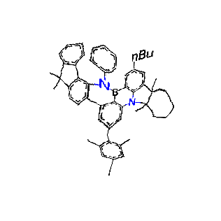 CCCCc1cc2c3c(c1)C1(C)CCCCC1(C)N3c1cc(-c3c(C)cc(C)cc3C)cc3c1B2N(c1ccccc1)c1c-3ccc2c1-c1ccccc1C2(C)C